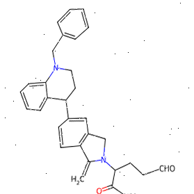 C=C1c2ccc(C3CCN(Cc4ccccc4)c4ccccc43)cc2CN1C(CCC=O)C(=O)NC